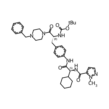 Cn1nccc1C(=O)N[C@H](C(=O)Nc1ccc(C[C@@H](NC(=O)OC(C)(C)C)C(=O)N2CCN(Cc3ccccc3)CC2)cc1)C1CCCCC1